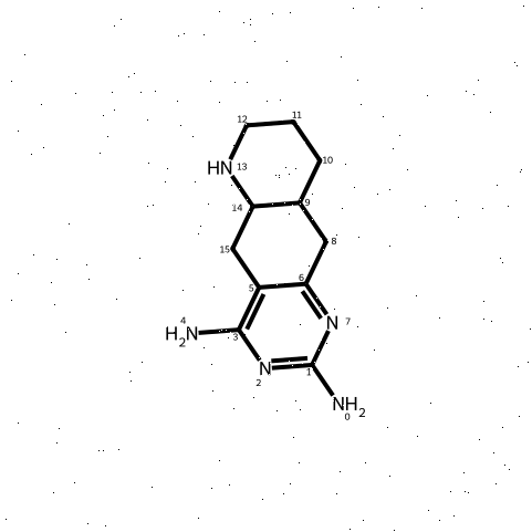 Nc1nc(N)c2c(n1)CC1CCCNC1C2